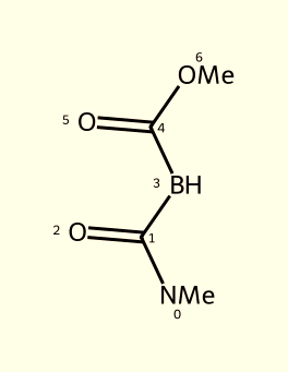 CNC(=O)BC(=O)OC